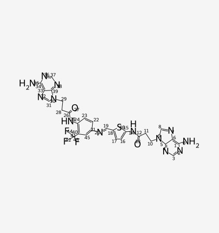 Nc1ncnc2c1ncn2CCC(=O)Nc1ccc(/C=N/c2ccc(NC(=O)CCn3cnc4c(N)ncnc43)c(C(F)(F)F)c2)s1